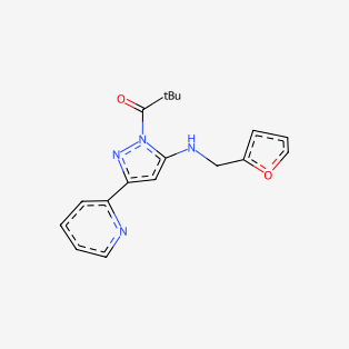 CC(C)(C)C(=O)n1nc(-c2ccccn2)cc1NCc1ccco1